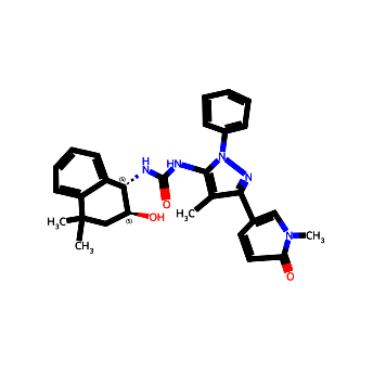 Cc1c(-c2ccc(=O)n(C)c2)nn(-c2ccccc2)c1NC(=O)N[C@H]1c2ccccc2C(C)(C)C[C@@H]1O